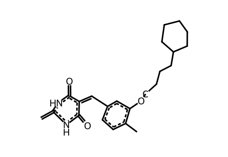 C=c1[nH]c(=O)c(=Cc2ccc(C)c(OCCCCC3CCCCC3)c2)c(=O)[nH]1